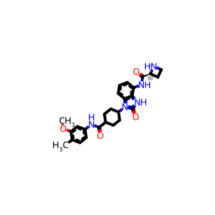 COc1cc(NC(=O)C2CCC(n3c(=O)[nH]c4c(NC(=O)[C@@H]5CCN5)cccc43)CC2)ccc1C